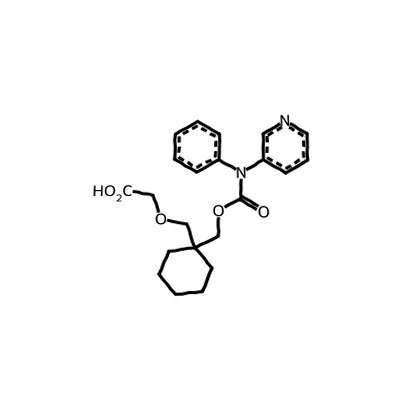 O=C(O)COCC1(COC(=O)N(c2ccccc2)c2cccnc2)CCCCC1